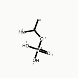 CC([NH])OP(=O)(O)O